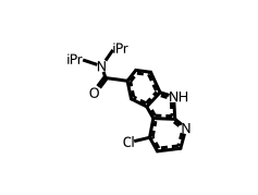 CC(C)N(C(=O)c1ccc2[nH]c3nccc(Cl)c3c2c1)C(C)C